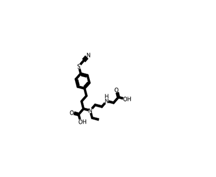 CCN(CCNCC(=O)O)C(CCc1ccc(SC#N)cc1)C(=O)O